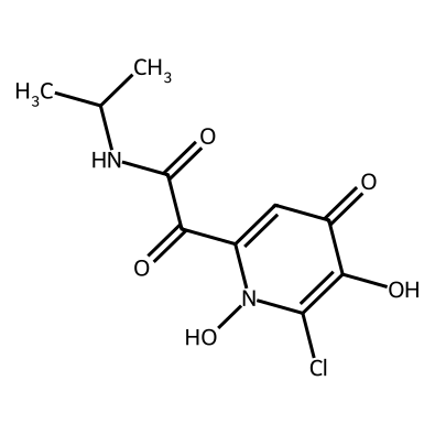 CC(C)NC(=O)C(=O)c1cc(=O)c(O)c(Cl)n1O